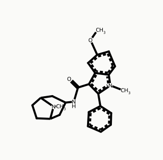 COc1ccc2c(c1)c(C(=O)NC1CC3CCC(C1)N3C)c(-c1ccccc1)n2C